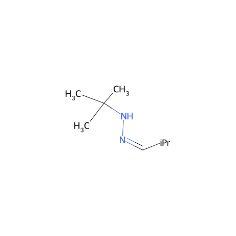 CC(C)/C=N\NC(C)(C)C